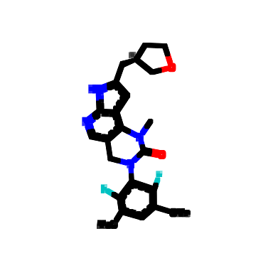 COc1cc(OC)c(F)c(N2Cc3cnc4[nH]c(C[C@H]5CCOC5)cc4c3N(C)C2=O)c1F